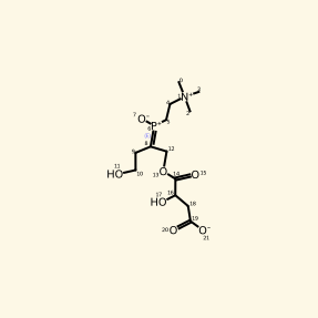 C[N+](C)(C)CC/[P+]([O-])=C(/CCO)COC(=O)C(O)CC(=O)[O-]